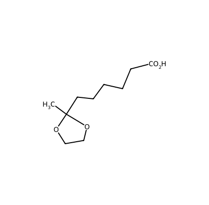 CC1(CCCCCC(=O)O)OCCO1